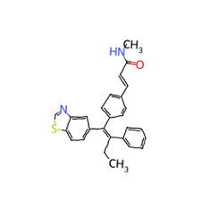 CC/C(=C(/c1ccc(/C=C/C(=O)NC)cc1)c1ccc2scnc2c1)c1ccccc1